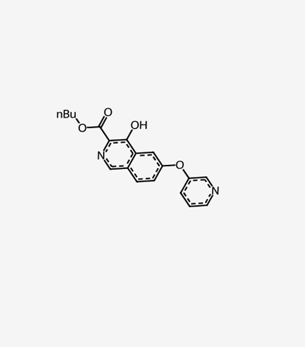 CCCCOC(=O)c1ncc2ccc(Oc3cccnc3)cc2c1O